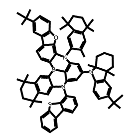 Cc1cc2c(cc1N1c3cc(N4c5ccc(C(C)(C)C)cc5C5(C)CCCCC45C)cc4c3B(c3cc5c(cc3N4c3cccc4c3sc3ccccc34)C(C)(C)CCC5(C)C)c3ccc4c(oc5ccc(C(C)(C)C)cc54)c31)C(C)(C)CCC2(C)C